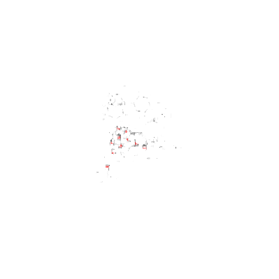 Cc1ncsc1-c1ccc([C@H](C)NC(=O)[C@@H]2C[C@@H](O)CN2C(=O)[C@@H](c2cc(OCCN3CC4CCC(C3)N4CCOc3cc(N4C5CCC4CN(c4cc(-c6ccccc6O)nnc4N)C5)ccn3)no2)C(C)C)cc1